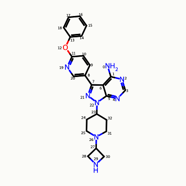 Nc1ncnc2c1c(-c1ccc(Oc3ccccc3)nc1)nn2C1CCN(C2CNC2)CC1